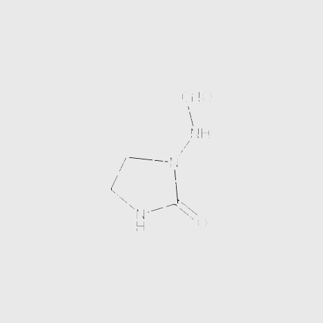 O=CNN1CCNC1=O